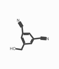 N#Cc1cc(C#N)cc([CH]O)c1